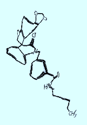 CCCCCNC(=O)c1cccc(CN2C(=O)C3(COc4cc5c(cc43)OCO5)c3ccccc32)c1